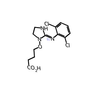 O=C(O)CCCON1CCN/C1=N\c1c(Cl)cccc1Cl